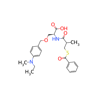 CCN(C)c1ccc(COC[C@H](NC(=O)C(C)CSC(=O)c2ccccc2)C(=O)O)cc1